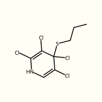 CCCSC1(Cl)C(Cl)=CNC(Cl)=C1Cl